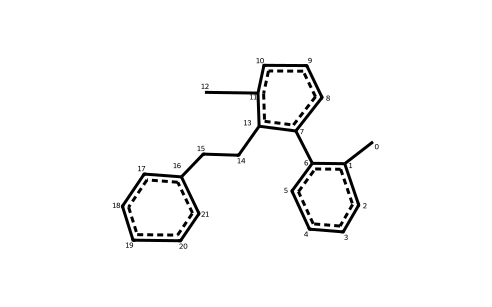 Cc1ccccc1-c1cccc(C)c1CCc1ccccc1